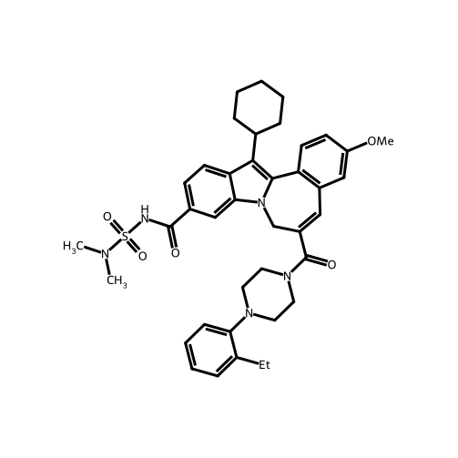 CCc1ccccc1N1CCN(C(=O)C2=Cc3cc(OC)ccc3-c3c(C4CCCCC4)c4ccc(C(=O)NS(=O)(=O)N(C)C)cc4n3C2)CC1